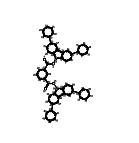 O=C(On1c2ccc(-c3ccccc3)cc2c2cc(-c3ccccc3)ccc21)c1cccc(C(=O)On2c3ccc(-c4ccccc4)cc3c3cc(-c4ccccc4)ccc32)c1